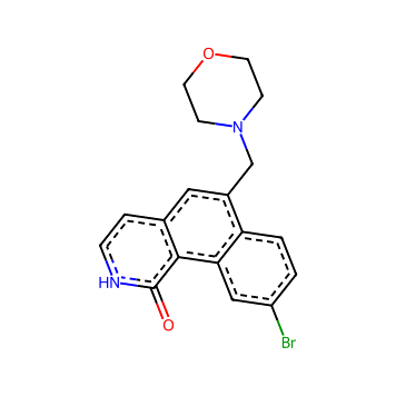 O=c1[nH]ccc2cc(CN3CCOCC3)c3ccc(Br)cc3c12